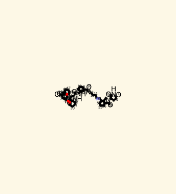 O=C1CCC(N2Cc3c(/C=C/CCCNC(=O)c4cccc(NC(=O)[C@@H]5NC6(CCCCC6)[C@@]6(C(=O)Nc7cc(Cl)ccc76)[C@H]5c5cccc(Cl)c5F)c4)cccc3C2=O)C(=O)N1